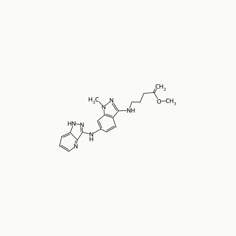 C=C(CCCNc1nn(C)c2cc(Nc3n[nH]c4cccnc34)ccc12)OC